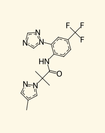 Cc1cnn(C(C)(C)C(=O)Nc2ccc(C(F)(F)F)cc2-n2cncn2)c1